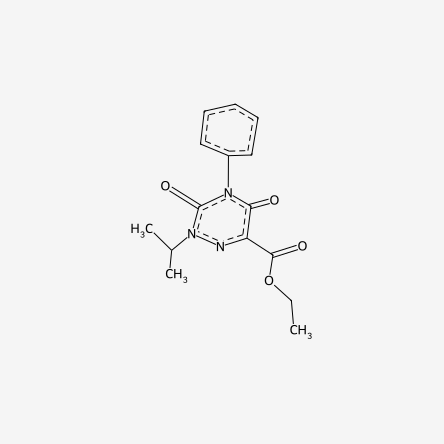 CCOC(=O)c1nn(C(C)C)c(=O)n(-c2ccccc2)c1=O